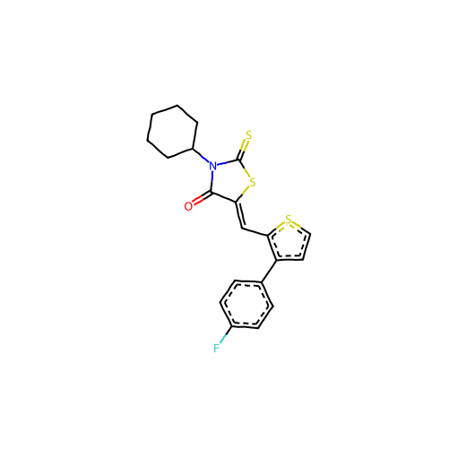 O=C1C(=Cc2sccc2-c2ccc(F)cc2)SC(=S)N1C1CCCCC1